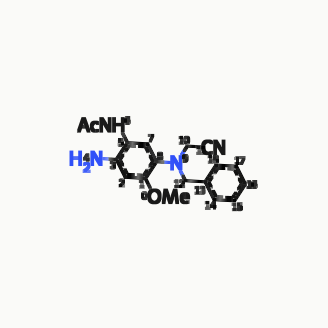 COc1cc(N)c(NC(C)=O)cc1N(CC#N)Cc1ccccc1